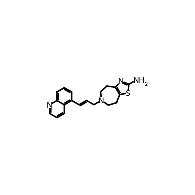 Nc1nc2c(s1)CCN(CC=Cc1cccc3ncccc13)CC2